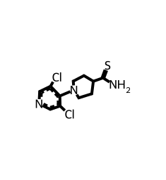 NC(=S)C1CCN(c2c(Cl)cncc2Cl)CC1